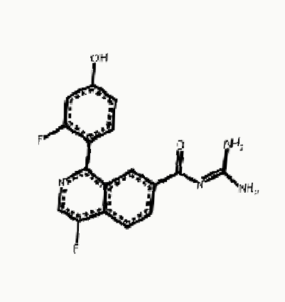 NC(N)=NC(=O)c1ccc2c(F)cnc(-c3ccc(O)cc3F)c2c1